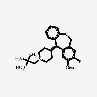 COc1cc2c(cc1F)COc1ccccc1C2=C1CCN(CC(C)(C)C(=O)O)CC1